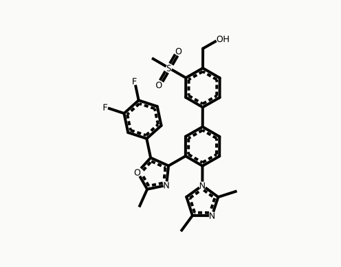 Cc1cn(-c2ccc(-c3ccc(CO)c(S(C)(=O)=O)c3)cc2-c2nc(C)oc2-c2ccc(F)c(F)c2)c(C)n1